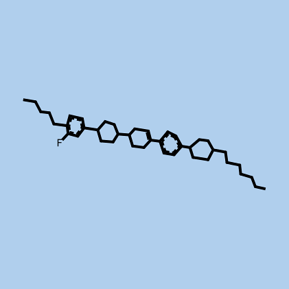 CCCCCCCC1CCC(c2ccc(C3=CCC(C4CCC(c5ccc(CCCCC)c(F)c5)CC4)CC3)cc2)CC1